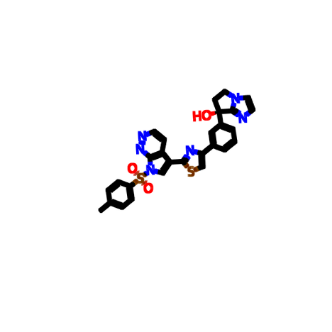 Cc1ccc(S(=O)(=O)n2cc(-c3nc(-c4cccc([C@]5(O)CCn6ccnc65)c4)cs3)c3ccnnc32)cc1